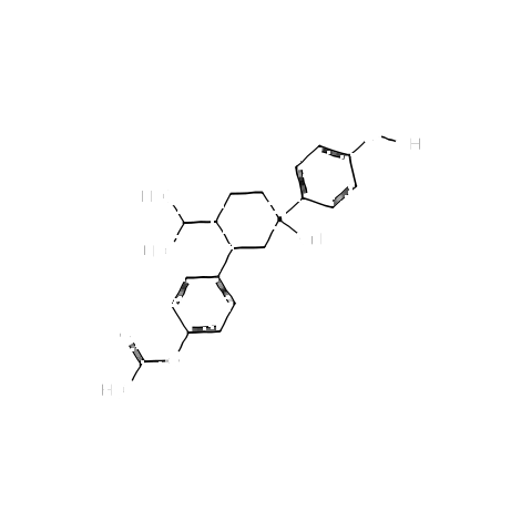 COc1ccc(C2(C)CCC(C(C)C)C(c3ccc(OC(C)=O)cc3)C2)cc1